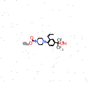 C/C=C\c1cc(C(O)(C(F)(F)F)C(F)(F)F)ccc1N1CCN(C(=O)OC(C)(C)C)CC1